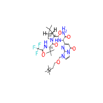 CC(C)(C)[C@H](NC(=O)C(F)(F)F)C(=O)N1C[C@H]2[C@@H]([C@H]1C(=O)NC(C(N)=O)c1cc(=O)n3ccn(COCC[Si](C)(C)C)c3n1)C2(C)C